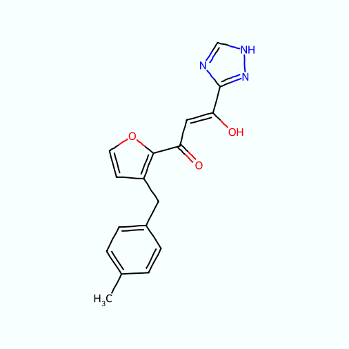 Cc1ccc(Cc2ccoc2C(=O)C=C(O)c2nc[nH]n2)cc1